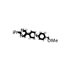 COC[C@H]1CC[C@@H](N2CCC(c3cnc(C(C)C)nc3)CC2)CC1